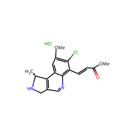 COC(=O)/C=C/c1c(Cl)c(OC)cc2c3c(cnc12)CN[C@H]3C.Cl